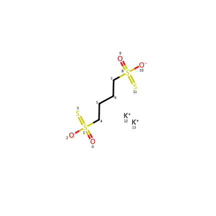 O=S([O-])(=S)CCCCS(=O)([O-])=S.[K+].[K+]